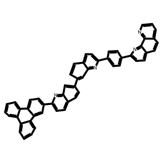 c1cnc2c(c1)ccc1ccc(-c3ccc(-c4ccc5ccc(-c6ccc7ccc(-c8ccc9c%10ccccc%10c%10ccccc%10c9c8)nc7c6)cc5n4)cc3)nc12